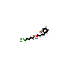 BrCCCCCCOCCc1cc2ccccc2s1